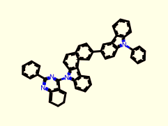 C1=c2nc(-c3ccccc3)nc(-n3c4ccccc4c4c5cc(-c6ccc7c(c6)c6ccccc6n7-c6ccccc6)ccc5ccc43)c2=CCC1